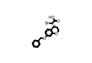 O=C(O)C(Br)[C@@H]1CCOc2cc(OCc3ccccc3)ccc21